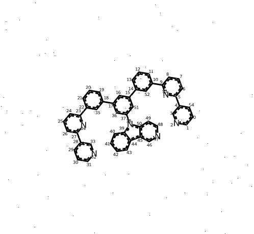 c1cncc(-c2cccc(-c3cccc(-c4cc(-c5cccc(-c6cccc(-c7cccnc7)n6)c5)cc(-n5c6ccccc6c6cnccc65)c4)c3)n2)c1